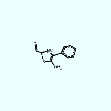 NC1=C(c2ccccc2)NC(C=S)S1